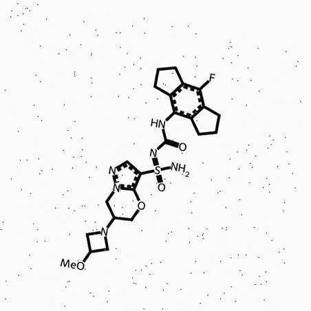 COC1CN(C2COc3c(S(N)(=O)=NC(=O)Nc4c5c(c(F)c6c4CCC6)CCC5)cnn3C2)C1